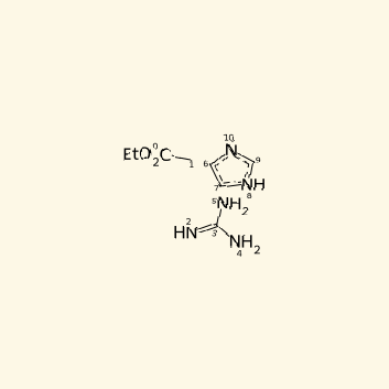 CCOC(C)=O.N=C(N)N.c1c[nH]cn1